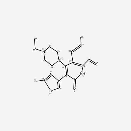 C=Cc1[nH]c(=O)c(-c2coc(C)n2)c(N2CCN(CC)CC2)c1/C=C/C